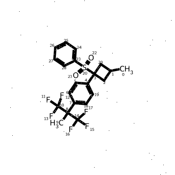 CC1CC(c2ccc(C(C)(C(F)(F)F)C(F)(F)F)cc2)(S(=O)(=O)c2ccccc2)C1